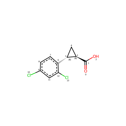 O=C(O)[C@@H]1C[C@H]1c1ccc(Cl)cc1Cl